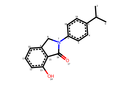 CC(C)c1ccc(N2Cc3cccc(O)c3C2=O)cc1